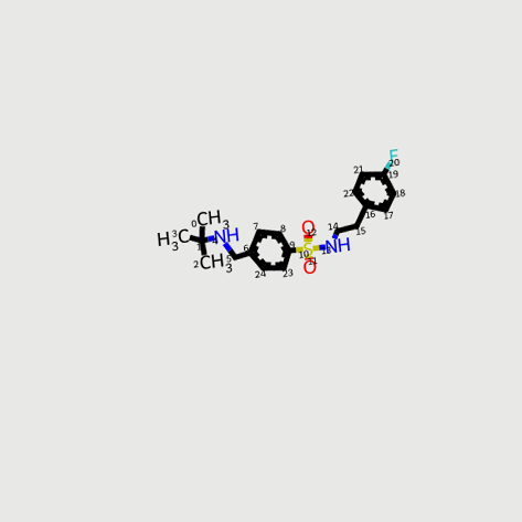 CC(C)(C)NCc1ccc(S(=O)(=O)NCCc2ccc(F)cc2)cc1